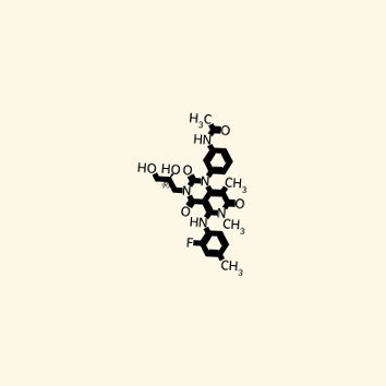 CC(=O)Nc1cccc(-n2c(=O)n(C[C@@H](O)CO)c(=O)c3c(Nc4ccc(C)cc4F)n(C)c(=O)c(C)c32)c1